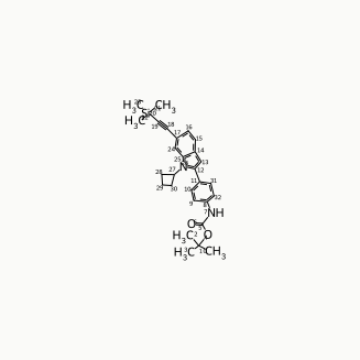 CC(C)(C)OC(=O)Nc1ccc(-c2cc3ccc(C#C[Si](C)(C)C)cc3n2C2CCC2)cc1